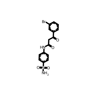 NS(=O)(=O)c1ccc(NC(=O)CC(=O)c2cccc(Br)c2)cc1